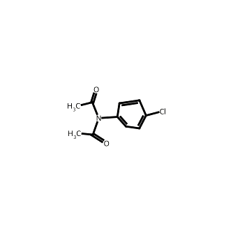 CC(=O)N(C(C)=O)c1ccc(Cl)cc1